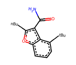 CCCCc1oc2cccc(C(C)(C)C)c2c1C(N)=O